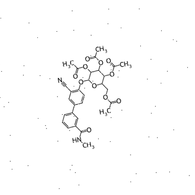 CNC(=O)c1cccc(-c2ccc(OC3OC(COC(C)=O)C(OC(C)=O)C(OC(C)=O)C3OC(C)=O)c(C#N)c2)c1